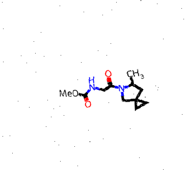 COC(=O)NCC(=O)N1CC2(CC2)CC1C